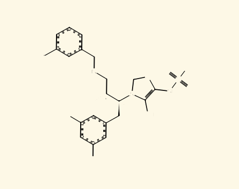 CC1=C(NS(C)(=O)=O)OCN1[C@@H](Cc1cc(F)cc(F)c1)[C@H](O)CNCc1cccc(I)c1